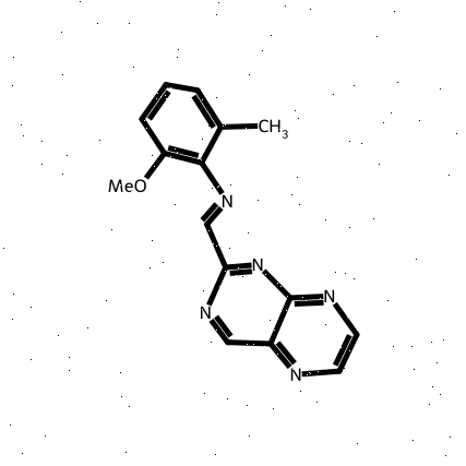 COc1cccc(C)c1N=Cc1ncc2nccnc2n1